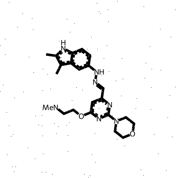 CNCCOc1cc(C=NNc2ccc3[nH]c(C)c(C)c3c2)nc(N2CCOCC2)n1